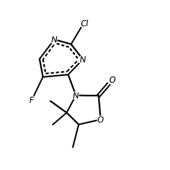 CC1OC(=O)N(c2nc(Cl)ncc2F)C1(C)C